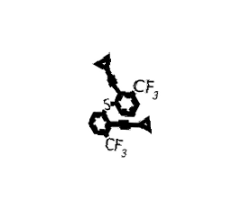 FC(F)(F)c1cccc(Sc2cccc(C(F)(F)F)c2C#CC2CC2)c1C#CC1CC1